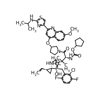 C=C[C@@H]1C[C@]1(NC(=O)[C@@H]1C[C@@H](Oc2cc(-c3csc(NC(C)C)n3)nc3cc(OC)ccc23)CN1C(=O)[C@@H](NC(=O)OC1CCCC1)C(C)(C)C)P(=O)(O)Cc1c(F)ccc(F)c1Cl